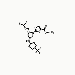 COC(=O)c1cnc(N2C[C@@H](NC3CCC(C(F)(F)F)CC3)C[C@H]2COC(F)F)s1